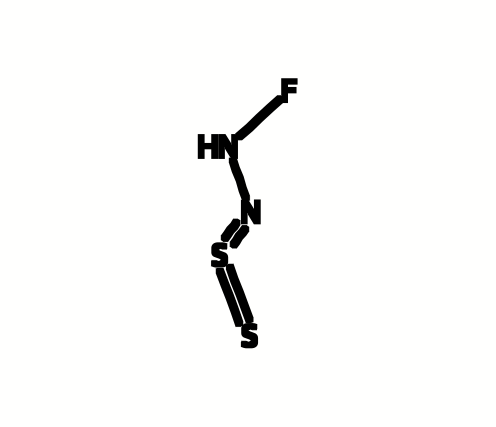 FNN=S=S